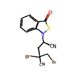 N#CC(CC(Br)(C#N)CBr)n1sc(=O)c2ccccc21